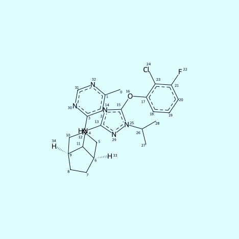 Cc1cc(N2C[C@H]3CC[C@@H](C2)C3Nc2nc(Oc3cccc(F)c3Cl)n(C(C)C)n2)ncn1